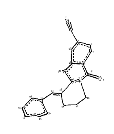 N#Cc1ccc2c(=O)n3c(nc2c1)C(=Cc1ccccc1)CCC3